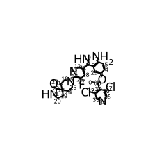 C[C@@H](Oc1ccc(N)c(C(=N)c2cnc(N3CCC4(CCNC4=O)CC3)c(F)c2)c1)c1c(Cl)cncc1Cl